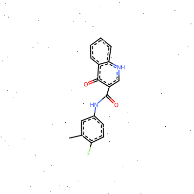 Cc1cc(NC(=O)c2c[nH]c3ccccc3c2=O)ccc1F